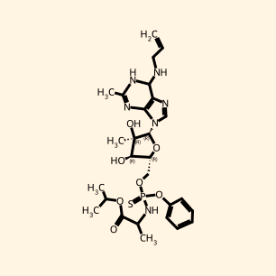 C=CCNC1NC(C)=Nc2c1ncn2[C@@H]1O[C@H](COP(=S)(NC(C)C(=O)OC(C)C)Oc2ccccc2)[C@@H](O)[C@@]1(C)O